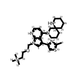 Cc1nc(-c2cn(COCC[Si](C)(C)C)c3nccc(N4CCCC5(CCCCN5)C4)c23)cs1